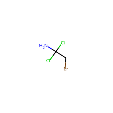 NC(Cl)(Cl)CBr